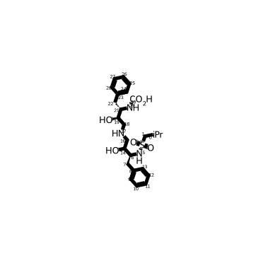 CC(C)CS(=O)(=O)N[C@@H](Cc1ccccc1)C(O)CNC[C@@H](O)[C@H](Cc1ccccc1)NC(=O)O